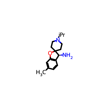 Cc1ccc2c(c1)OC1(CCN(C(C)C)CC1)[C@H]2N